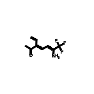 C=C/C(=C\C=C(/N)C(F)(F)F)C(C)=O